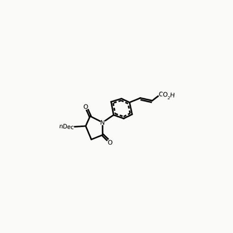 CCCCCCCCCCC1CC(=O)N(c2ccc(C=CC(=O)O)cc2)C1=O